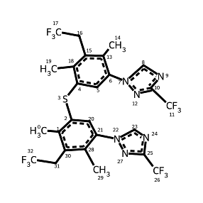 Cc1c(Sc2cc(-n3cnc(C(F)(F)F)n3)c(C)c(CC(F)(F)F)c2C)cc(-n2cnc(C(F)(F)F)n2)c(C)c1CC(F)(F)F